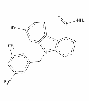 CC(C)c1c[c]c2c3c(C(N)=O)cccc3n(Cc3cc(C(F)(F)F)cc(C(F)(F)F)c3)c2c1